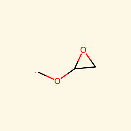 [CH2]O[C]1CO1